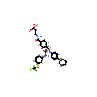 O=C(O)CCNC(=O)c1ccc(CN(C(=O)Nc2cccc(SC(F)(F)F)c2)c2ccc(C3CCCCC3)cc2)cc1